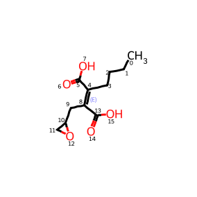 CCCC/C(C(=O)O)=C(/CC1CO1)C(=O)O